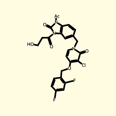 CC(=O)n1c(=O)n(C(=O)CCO)c2cc(Cn3ccc(OCc4ccc(F)cc4F)c(Cl)c3=O)ccc21